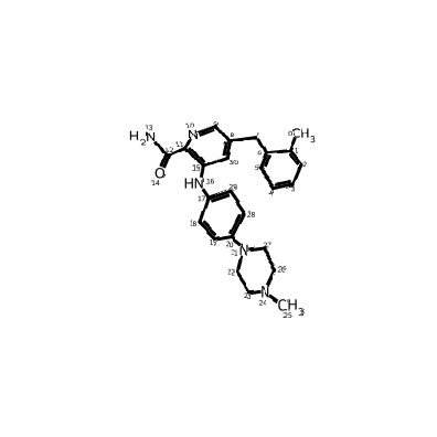 Cc1ccccc1Cc1cnc(C(N)=O)c(Nc2ccc(N3CCN(C)CC3)cc2)c1